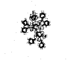 CO[C@H]1O[C@H](COCc2ccccc2)[C@@H](O[C@H]2O[C@H](COCc3ccccc3)[C@@H](COS(=O)(=O)C(F)(F)F)[C@H](OCc3ccccc3)[C@H]2OCc2ccccc2)[C@H](OCc2ccccc2)[C@H]1OCc1ccccc1